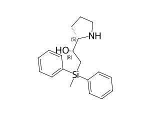 C[Si](C[C@H](O)[C@@H]1CCCN1)(c1ccccc1)c1ccccc1